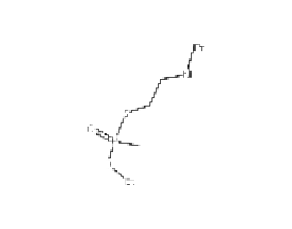 CCOP(C)(=O)SCCNC(C)C